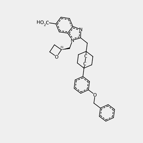 O=C(O)c1ccc2nc(CC34CCC(c5cccc(OCc6ccccc6)c5)(CC3)CC4)n(C[C@@H]3CCO3)c2c1